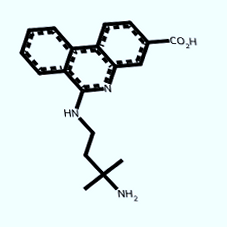 CC(C)(N)CCNc1nc2cc(C(=O)O)ccc2c2ccccc12